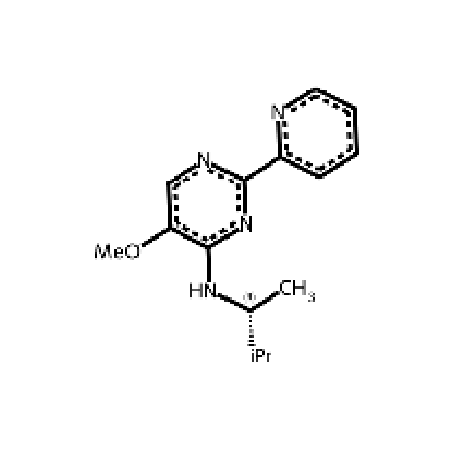 COc1cnc(-c2ccccn2)nc1N[C@H](C)C(C)C